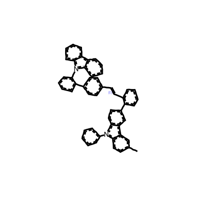 Cc1ccc2c(c1)c1cc(-c3ccccc3/C=C/c3ccc(-c4ccccc4-n4c5ccccc5c5ccccc54)cc3)ccc1n2-c1ccccc1